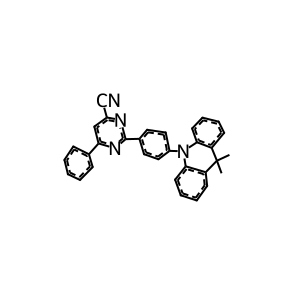 CC1(C)c2ccccc2N(c2ccc(-c3nc(C#N)cc(-c4ccccc4)n3)cc2)c2ccccc21